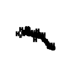 CC(C)C(NC(=O)CCOCCOCCOCCOCCNC(=O)COC1CCCCCCC1)C(=O)NCC(=O)Nc1ccc(COC(=O)NC(CCC(N)=O)C(=O)NCOCC(N)=O)cc1